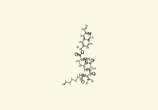 C=CCCCCC(=O)NC(C(=O)N[C@@H](C)C(=O)N1CCC[C@@H](C(=O)O[C@H](C)c2ccc3cnc(C=C)cc3c2)N1)C(C)C